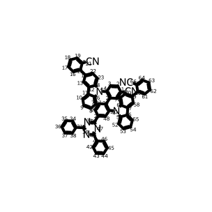 N#Cc1ccc(-n2c3ccccc3c3cc(-c4ccccc4C#N)ccc32)c(-c2ccc(-c3nc(-c4ccccc4)nc(-c4ccccc4)n3)cc2-n2c3ccccc3c3cc(-c4ccccc4C#N)ccc32)c1